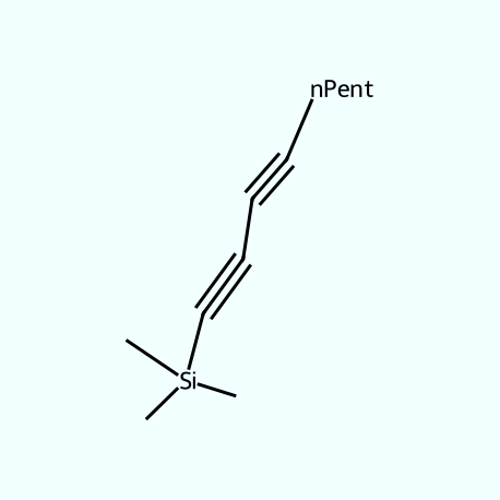 CCCCCC#CC#C[Si](C)(C)C